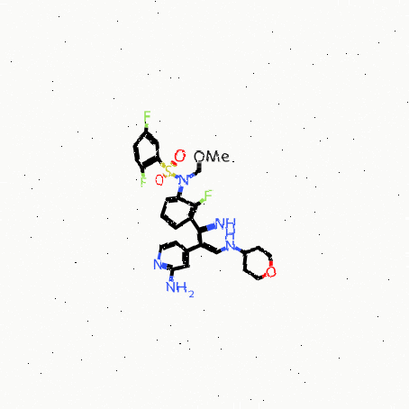 COCN(c1cccc(C(=N)/C(=C\NC2CCOCC2)c2ccnc(N)c2)c1F)S(=O)(=O)c1cc(F)ccc1F